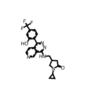 O=C1CC(CNc2nnc(-c3ccc(C(F)(F)F)cc3O)c3ccncc23)CN1C1CC1